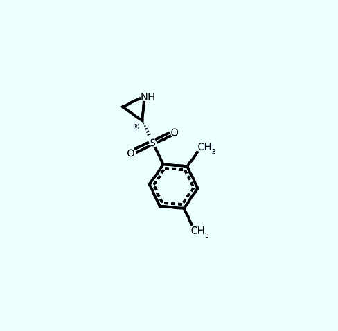 Cc1ccc(S(=O)(=O)[C@@H]2CN2)c(C)c1